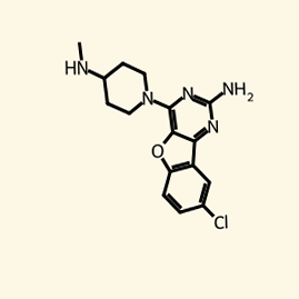 CNC1CCN(c2nc(N)nc3c2oc2ccc(Cl)cc23)CC1